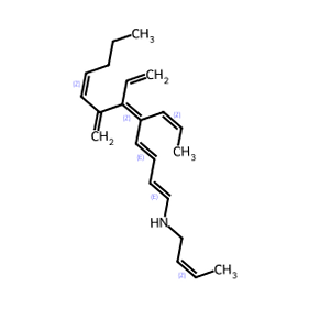 C=C/C(C(=C)/C=C\CCC)=C(\C=C/C)/C=C/C=C/NC/C=C\C